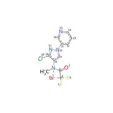 CN(C(=O)C(F)(F)Br)c1cn(-c2cccnc2)nc1Cl